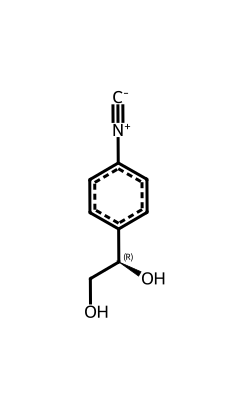 [C-]#[N+]c1ccc([C@@H](O)CO)cc1